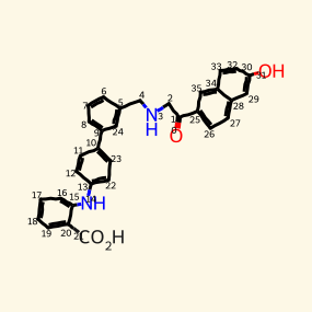 O=C(CNCc1cccc(-c2ccc(Nc3ccccc3C(=O)O)cc2)c1)c1ccc2cc(O)ccc2c1